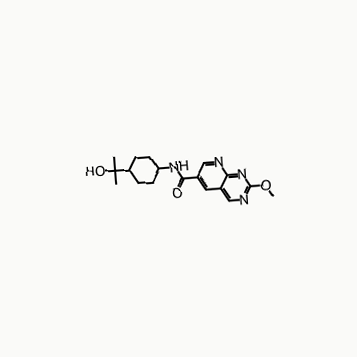 COc1ncc2cc(C(=O)NC3CCC(C(C)(C)O)CC3)cnc2n1